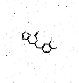 O=COC(Cc1ccc(F)c(F)c1)Cc1ncon1